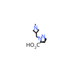 CN1CC(Cn2nccc2C(=O)O)C1